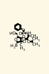 B[C@@H]1O[C@H](CO)[C@@H](OP(=O)(N[C@H](C)C(=O)OC(C)C)Oc2ccccc2)[C@@]1(C)Cl